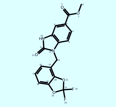 COC(=O)c1ccc2c(c1)[nH]c(=O)n2Cc1cccc2c1OC(F)(F)O2